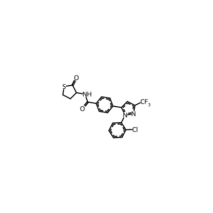 O=C(NC1CCSC1=O)c1ccc(-c2cc(C(F)(F)F)nn2-c2ccccc2Cl)cc1